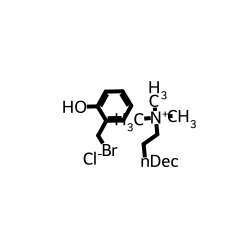 CCCCCCCCCCCC[N+](C)(C)C.Oc1ccccc1CBr.[Cl-]